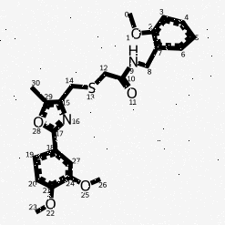 COc1ccccc1CNC(=O)CSCc1nc(-c2ccc(OC)c(OC)c2)oc1C